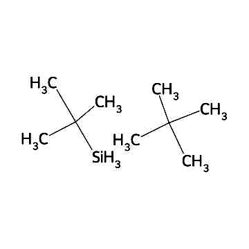 CC(C)(C)C.CC(C)(C)[SiH3]